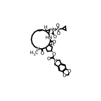 CN1CCCCC/C=C\[C@@H]2C[C@@]2(C(=O)NS(=O)(=O)C2CC2)NC(=O)[C@@H]2C[C@@H](OC(=O)N3Cc4cc5c(cc4C3)OCO5)CC2C1=O